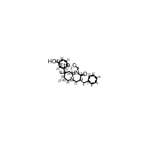 CCOC(=O)CNC(=O)[C@@H](Cc1ccccc1)CN1CC[C@@](C)(c2cccc(O)c2)[C@@H](C)C1